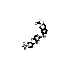 CS(=O)(=O)N1CCC(Nc2nc(Nc3ccc4c(c3)CN(C(=O)C(F)(F)F)CC4)ncc2F)CC1